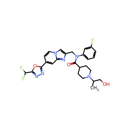 CC(CO)N1CCC(C(=O)N(Cc2cn3ccc(-c4nnc(C(F)F)o4)cc3n2)c2cccc(F)c2)CC1